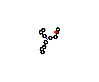 c1cc(-c2ccc(N(c3ccc(-c4ccc5c(ccc6ccccc65)c4)cc3)c3ccc(-c4cccc5ccccc45)cc3)cc2)cc(-c2cc3ccccc3o2)c1